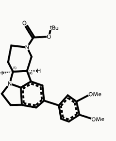 COc1ccc(-c2cc3c4c(c2)[C@@H]2CN(C(=O)OC(C)(C)C)CC[C@@H]2N4CC3)cc1OC